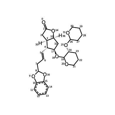 O=C1C[C@@H]2[C@@H](/C=C/CC3Oc4ccccc4O3)[C@H](OC3OCCC[C@H]3OC3CCCCO3)C[C@@H]2O1